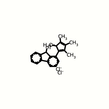 CC1=C(C)C(C)C(c2cccc3c2[CH]([Hf+2])c2ccccc2-3)=C1C.[Cl-].[Cl-]